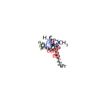 CC1=NO[C@@]2(CC[C@H](C)N3C[C@H]2n2cc(C(=O)NCc4ccc(F)cc4F)c(=O)c(OCOC(=O)OCCCCCC(C)C)c2C3=O)C1